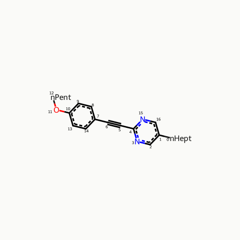 CCCCCCCc1cnc(C#Cc2ccc(OCCCCC)cc2)nc1